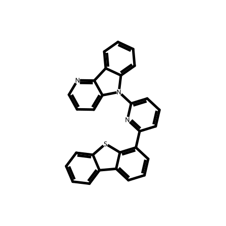 c1cc(-c2cccc3c2sc2ccccc23)nc(-n2c3ccccc3c3ncccc32)c1